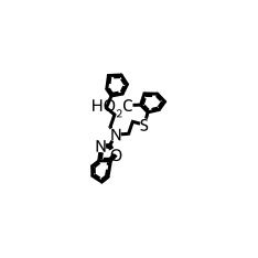 O=C(O)c1ccccc1SCCN(CCCc1ccccc1)c1nc2ccccc2o1